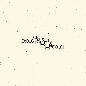 CCOC(=O)CC(c1cc2c(s1)CCN(C(=O)OCC)CC2)C(F)(F)F